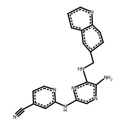 N#Cc1ccnc(Nc2cnc(N)c(NCc3ccc4ncccc4c3)n2)c1